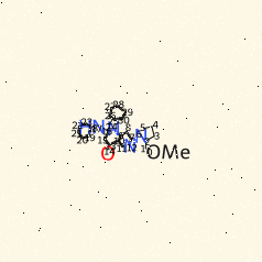 COCC1CCCN1c1cc2c(cn1)c(=O)cc(Nc1ccccc1)n2-c1ccccc1